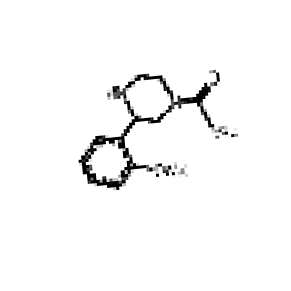 COc1ccccc1C1CN(C(=O)C(C)(C)C)CCN1